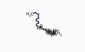 CC/C=C\C/C=C\C/C=C\C/C=C\C/C=C\C/C=C\CCC(=O)NCCNCCOC(=O)NC(=N)NC(=N)N(C)C